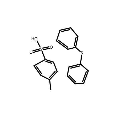 Cc1ccc(S(=O)(=O)O)cc1.c1ccc(Sc2ccccc2)cc1